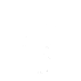 NC[C@@H]1CCN(S(=O)(=O)NC(=O)c2cc(Cl)c(OCC3CCCC3)cc2F)C1.O=C(O)C(F)(F)F